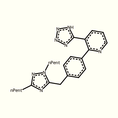 CCCCCc1nc(Cc2ccc(-c3ncccc3-c3nnn[nH]3)cc2)n(CCCCC)n1